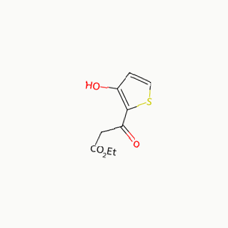 CCOC(=O)CC(=O)c1sccc1O